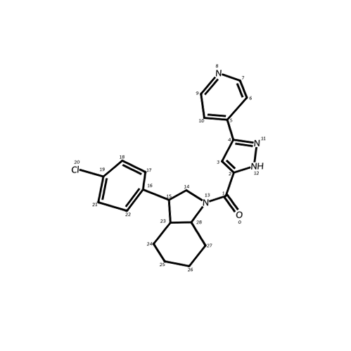 O=C(c1cc(-c2ccncc2)n[nH]1)N1CC(c2ccc(Cl)cc2)C2CCCCC21